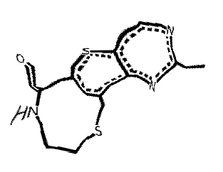 Cc1ncc2sc3c(c2n1)SCCNC3=O